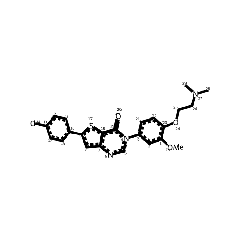 COc1cc(-n2cnc3cc(-c4ccc(Cl)cc4)sc3c2=O)ccc1OCCN(C)C